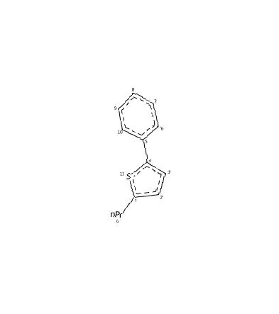 CCCc1ccc(-c2ccccc2)s1